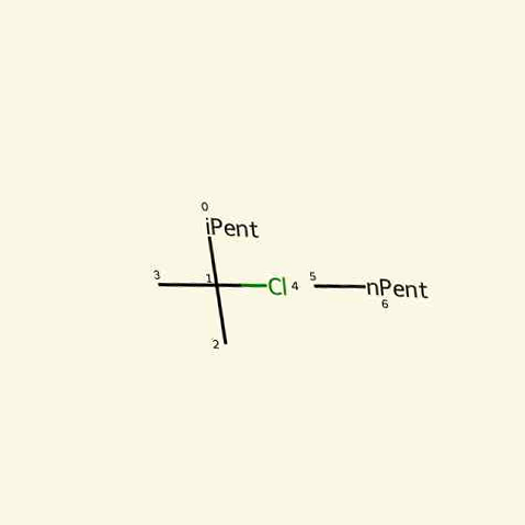 CCCC(C)C(C)(C)Cl.CCCCCC